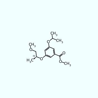 COC[C@H](C)Oc1cc(OC(C)C)cc(C(=O)OC)c1